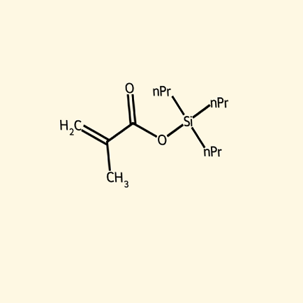 C=C(C)C(=O)O[Si](CCC)(CCC)CCC